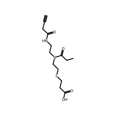 C#CCC(=O)NCCN(CCSCCC(=O)O)C(=O)CC